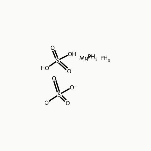 O=S(=O)(O)O.O=S(=O)([O-])[O-].P.P.[Mg+2]